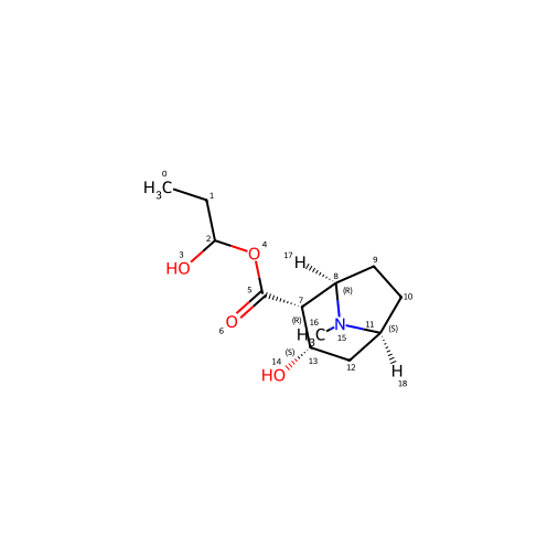 CCC(O)OC(=O)[C@@H]1[C@H]2CC[C@@H](C[C@@H]1O)N2C